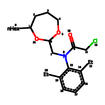 CCCCCCC1CCCOC(CN(C(=O)CCl)c2c(CC)cccc2CC)O1